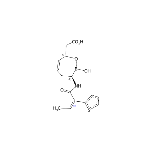 C/C=C(\C(=O)N[C@H]1CC=C[C@H](CC(=O)O)OB1O)c1cccs1